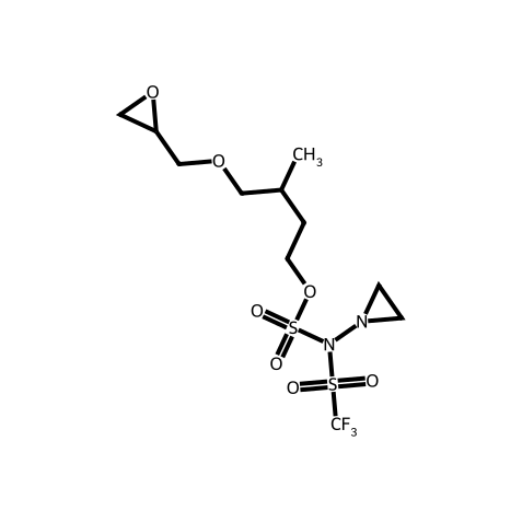 CC(CCOS(=O)(=O)N(N1CC1)S(=O)(=O)C(F)(F)F)COCC1CO1